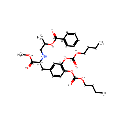 CCCCOC(=O)Oc1ccc(C[C@H](NCC(C)OC(=O)c2ccccc2)C(=O)OC)cc1OC(=O)OCCCC